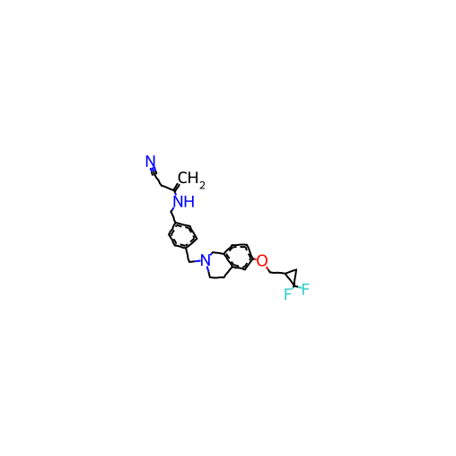 C=C(CC#N)NCc1ccc(CN2CCc3cc(OCC4CC4(F)F)ccc3C2)cc1